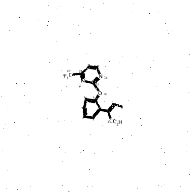 CC=C(C(=O)O)c1ccccc1Oc1nccc(C(F)(F)F)n1